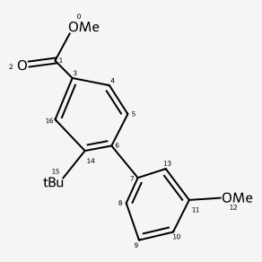 COC(=O)c1ccc(-c2cccc(OC)c2)c(C(C)(C)C)c1